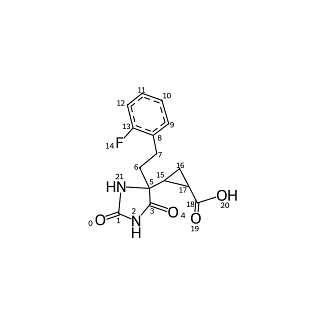 O=C1NC(=O)C(CCc2ccccc2F)(C2CC2C(=O)O)N1